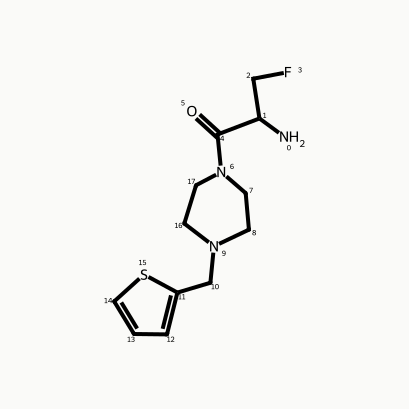 NC(CF)C(=O)N1CCN(Cc2cccs2)CC1